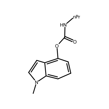 CCCNC(=O)Oc1cccc2c1ccn2C